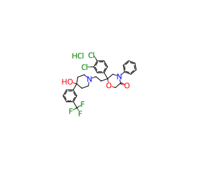 Cl.O=C1COC(CCN2CCC(O)(c3cccc(C(F)(F)F)c3)CC2)(c2ccc(Cl)c(Cl)c2)CN1c1ccccc1